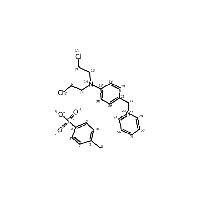 Cc1ccc(S(=O)(=O)[O-])cc1.ClCCN(CCCl)c1ccc(C[n+]2ccccc2)cc1